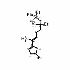 CCC(CC)(CC/C=C(\C)c1ccc(Br)s1)O[Si](CC)(CC)CC